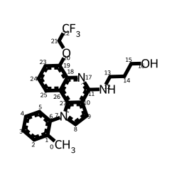 Cc1ccccc1-n1ccc2c(NCCCO)nc3c(OCC(F)(F)F)cccc3c21